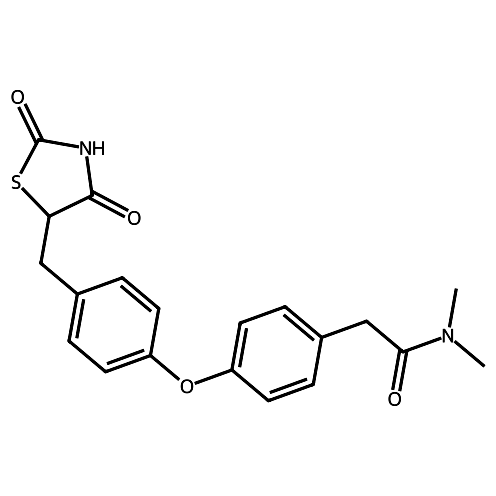 CN(C)C(=O)Cc1ccc(Oc2ccc(CC3SC(=O)NC3=O)cc2)cc1